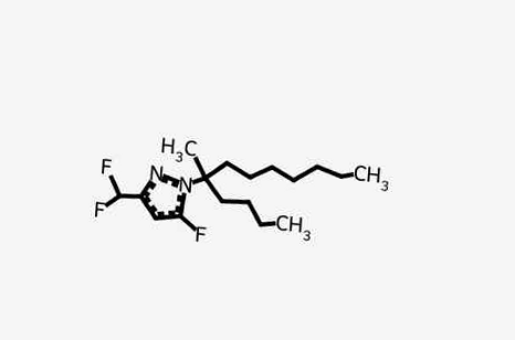 CCCCCCCC(C)(CCCC)n1nc(C(F)F)cc1F